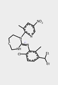 CCC(CC)c1ccc(Cl)c(/N=C2\NCCCCN2c2ncc([N+](=O)[O-])cc2C)c1C